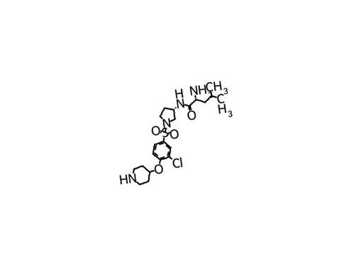 CC(C)C[C@H](N)C(=O)N[C@H]1CCN(S(=O)(=O)c2ccc(OC3CCNCC3)c(Cl)c2)C1